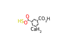 O=C(O)c1cccc(C(=O)OS)c1.[CaH2]